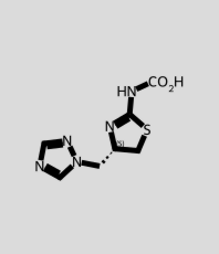 O=C(O)NC1=N[C@@H](Cn2cncn2)CS1